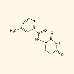 Cc1ccnc(C(=O)NC2CCC(=O)NC2=O)c1